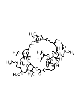 C=C1CCC2CC(=C)[C@H](CCC3C[C@@H](C)C(=C)[C@@H](CC4O[C@H](C[C@H](C)CCPP)[C@H](C)C4CC(=O)CC4CC[C@@H]5O[C@@H]6C(O[C@H](C1)[C@@H]6OP(P)P)[C@@H](OP(P)P)[C@H]5O4)O3)O2